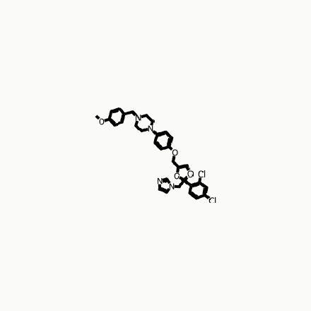 COc1ccc(CN2CCN(c3ccc(OCC4COC(Cn5ccnc5)(c5ccc(Cl)cc5Cl)O4)cc3)CC2)cc1